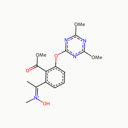 COC(=O)c1c(Oc2nc(OC)nc(OC)n2)cccc1C(C)=[N+](C)O